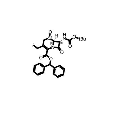 CC(C)(C)OC(=O)N[C@@H]1C(=O)N2C(C(=O)OC(c3ccccc3)c3ccccc3)=C(CI)C[S+]([O-])[C@@H]12